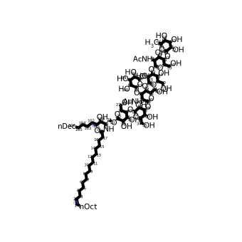 CCCCCCCC/C=C\CCCCCCCCCCCCCCCC(=O)N[C@@H](CO[C@@H]1OC(CO)[C@@H](O[C@@H]2OC(CO)[C@H](O)[C@H](O[C@@H]3OC(CO)[C@@H](O[C@@H]4OC(CO)[C@H](O)[C@H](O[C@@H]5OC(CO)[C@@H](O[C@H]6OC(C)[C@@H](O)C(O)[C@@H]6O)[C@H](O)C5NC(C)=O)C4O)[C@H](O[C@H]4OC(C)[C@@H](O)C(O)[C@@H]4O)C3NC(C)=O)C2O)[C@H](O)C1O)[C@H](O)/C=C/CCCCCCCCCCCCC